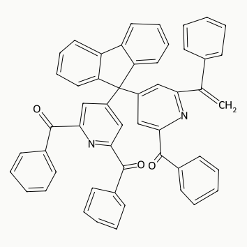 C=C(c1ccccc1)c1cc(C2(c3cc(C(=O)c4ccccc4)nc(C(=O)c4ccccc4)c3)c3ccccc3-c3ccccc32)cc(C(=O)c2ccccc2)n1